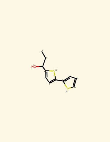 CCC(O)c1ccc(-c2cccs2)s1